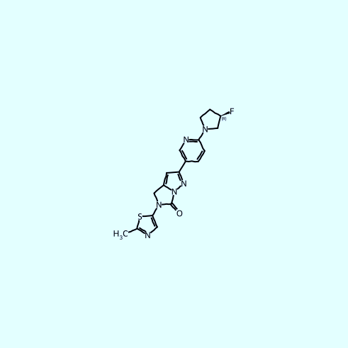 Cc1ncc(N2Cc3cc(-c4ccc(N5CC[C@@H](F)C5)nc4)nn3C2=O)s1